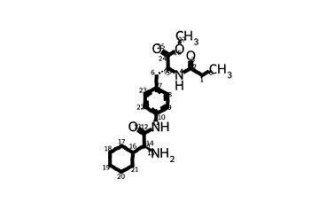 CCC(=O)N[C@H](Cc1ccc(NC(=O)[C@@H](N)C2CCCCC2)cc1)C(=O)OC